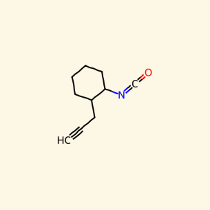 C#CCC1CCCCC1N=C=O